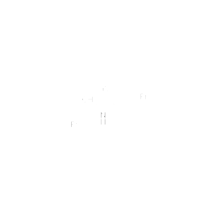 CC(C)CC(=O)N[C@@H](C)C(C)C